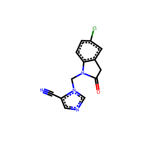 N#Cc1cncn1CN1C(=O)Cc2cc(Cl)ccc21